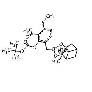 CSc1ccc(CB2OC3CC4CC(C4(C)C)[C@]3(C)O2)c(OC(=O)OC(C)(C)C)c1C(C)=O